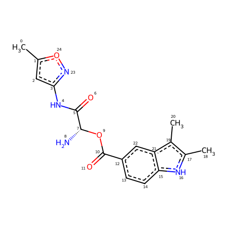 Cc1cc(NC(=O)[C@@H](N)OC(=O)c2ccc3[nH]c(C)c(C)c3c2)no1